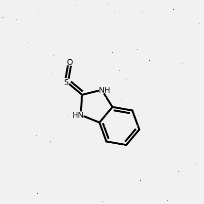 O=S=c1[nH]c2ccccc2[nH]1